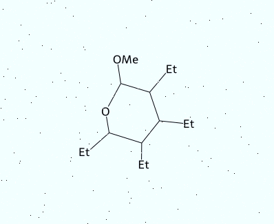 CCC1OC(OC)C(CC)C(CC)C1CC